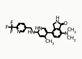 CC1=CC(NCc2ccc(C(F)(F)F)nc2)NC=C1c1ccc(N(C)C)c2c1CNC2=O